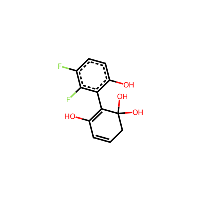 OC1=C(c2c(O)ccc(F)c2F)C(O)(O)CC=C1